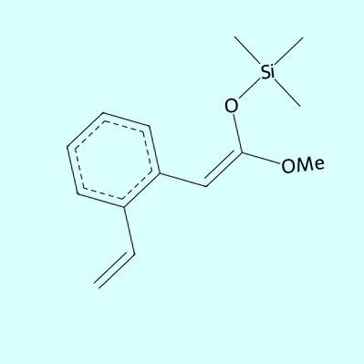 C=Cc1ccccc1C=C(OC)O[Si](C)(C)C